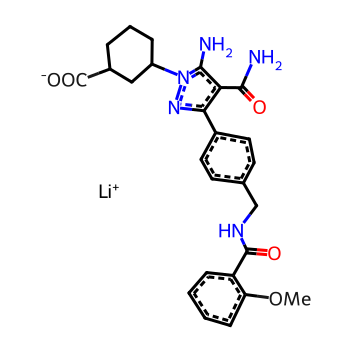 COc1ccccc1C(=O)NCc1ccc(-c2nn(C3CCCC(C(=O)[O-])C3)c(N)c2C(N)=O)cc1.[Li+]